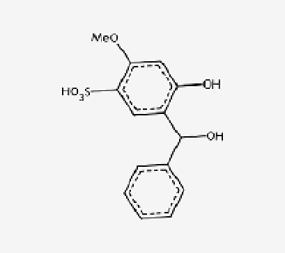 COc1cc(O)c(C(O)c2ccccc2)cc1S(=O)(=O)O